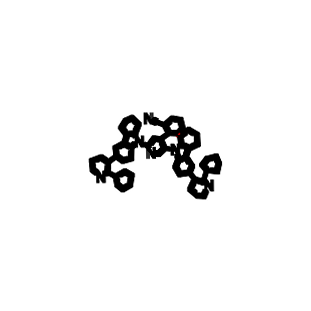 N#Cc1ccccc1-c1cc(-n2c3ccccc3c3cc(-c4cccnc4-c4ccccc4)ccc32)ncc1-n1c2ccccc2c2cc(-c3cccnc3-c3ccccc3)ccc21